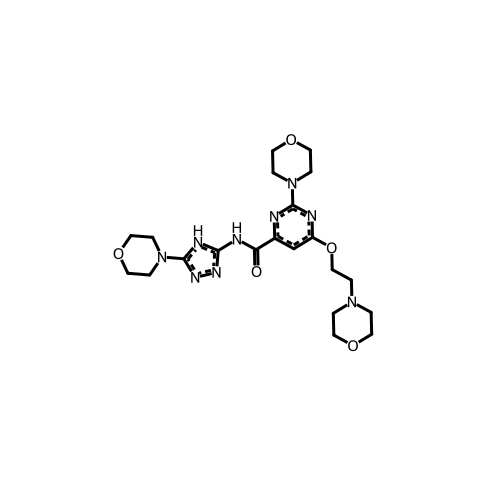 O=C(Nc1nnc(N2CCOCC2)[nH]1)c1cc(OCCN2CCOCC2)nc(N2CCOCC2)n1